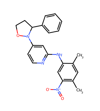 Cc1cc(C)c([N+](=O)[O-])cc1Nc1cc(N2OCCC2c2ccccc2)ccn1